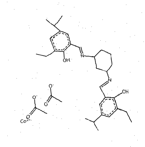 CC(=O)[O-].CC(=O)[O-].CCc1cc(C(C)C)cc(C=NC2CCCC(N=Cc3cc(C(C)C)cc(CC)c3O)C2)c1O.[Co+2]